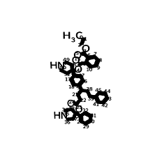 CCCOC(=O)c1ccccc1C(=O)OC1(c2ccc(C(CCC(=O)OC3(c4ccccc4)CCNCC3)CCc3ccccc3)cc2)CCNCC1